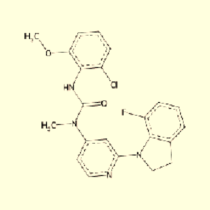 COc1cccc(Cl)c1NC(=O)N(C)c1ccnc(N2CCc3cccc(F)c32)c1